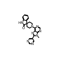 Cn1c(-c2cncnc2)nc2c(N3CCC4(CC3)C(=O)Nc3ccccc34)ncnc21